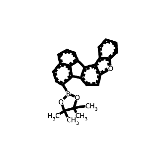 CC1(C)OB(c2ccc3cccc4c3c2-c2ccc3oc5ccccc5c3c2-4)OC1(C)C